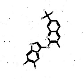 Cc1cc2ccc(C(F)(F)F)cc2nc1Nc1c[nH]c2cc(F)c(F)cc12